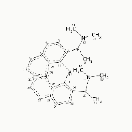 CC(c1ccc2ccccc2c1Sc1c(C(C)N(C)C)ccc2ccccc12)N(C)C